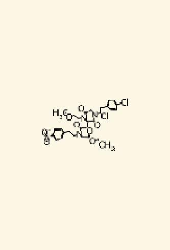 CCOC(=O)CN(CCc1ccc([N+](=O)[O-])cc1)C(=O)CC1C(=O)N(C(Cl)Cc2ccc(Cl)cc2)CC(=O)N1CCOC